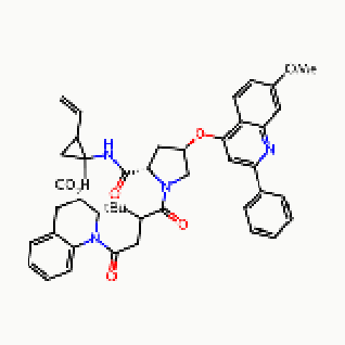 C=CC1CC1(NC(=O)[C@@H]1C[C@@H](Oc2cc(-c3ccccc3)nc3cc(OC)ccc23)CN1C(=O)C(CC(=O)N1CCCc2ccccc21)C(C)(C)C)C(=O)O